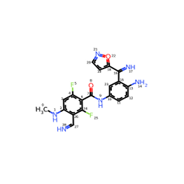 CNc1cc(F)c(C(=O)Nc2ccc(N)c(C(=N)c3ccno3)c2)c(F)c1C=N